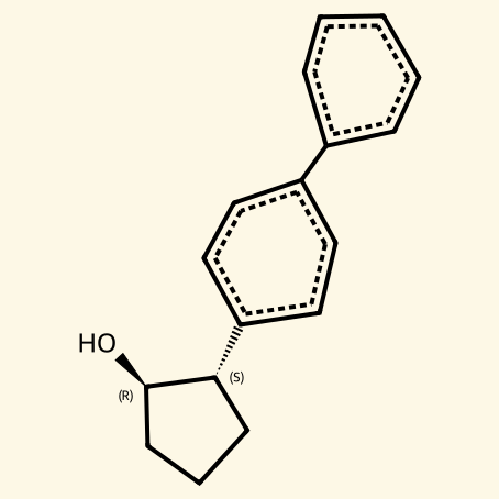 O[C@@H]1CCC[C@H]1c1ccc(-c2ccccc2)cc1